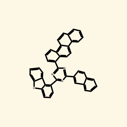 c1ccc2cc(-c3nc(-c4cccc5c4ccc4c6ccccc6ccc54)nc(-c4cccc5oc6ccccc6c45)n3)ccc2c1